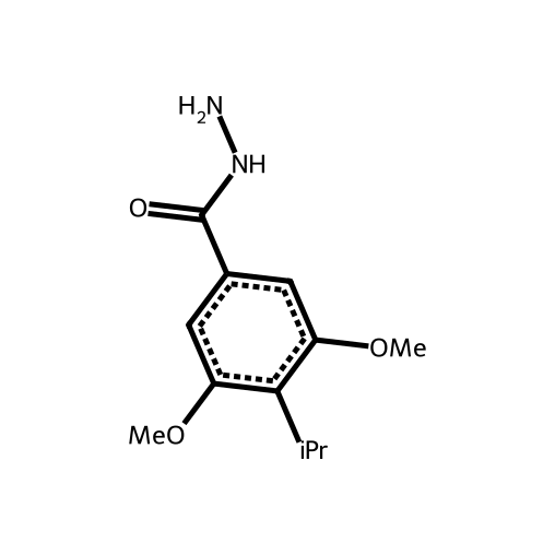 COc1cc(C(=O)NN)cc(OC)c1C(C)C